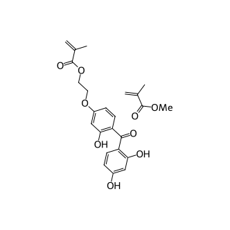 C=C(C)C(=O)OC.C=C(C)C(=O)OCCOc1ccc(C(=O)c2ccc(O)cc2O)c(O)c1